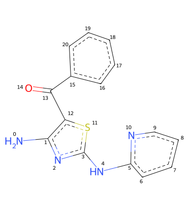 Nc1nc(Nc2ccccn2)sc1C(=O)c1ccccc1